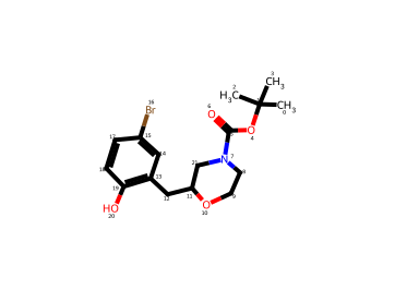 CC(C)(C)OC(=O)N1CCOC(Cc2cc(Br)ccc2O)C1